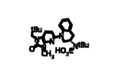 Cn1c(=O)n(CC(C)(C)C)c2ccc(N3C[C@@H](N(C(=O)O)C(C)(C)C)Cc4ccccc43)nc21